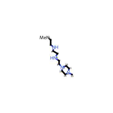 CNCCNCCNCCN1CCN(C)CC1